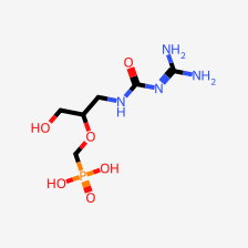 NC(N)=NC(=O)NCC(CO)OCP(=O)(O)O